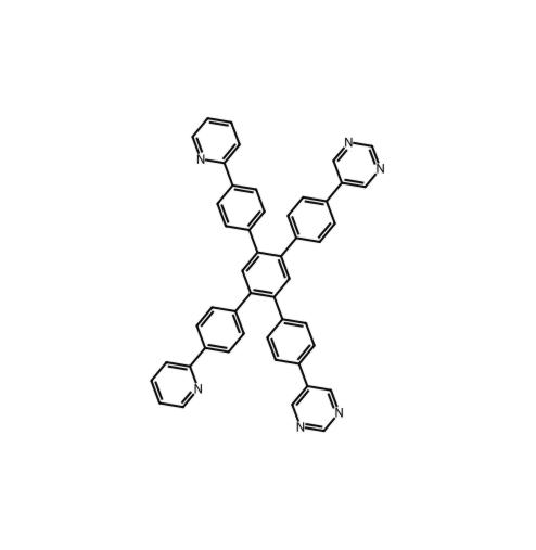 c1ccc(-c2ccc(-c3cc(-c4ccc(-c5ccccn5)cc4)c(-c4ccc(-c5cncnc5)cc4)cc3-c3ccc(-c4cncnc4)cc3)cc2)nc1